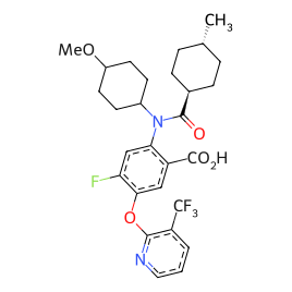 COC1CCC(N(c2cc(F)c(Oc3ncccc3C(F)(F)F)cc2C(=O)O)C(=O)[C@H]2CC[C@H](C)CC2)CC1